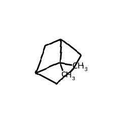 CC1(C)C2CCCC1C2